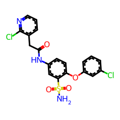 NS(=O)(=O)c1cc(NC(=O)Cc2cccnc2Cl)ccc1Oc1cccc(Cl)c1